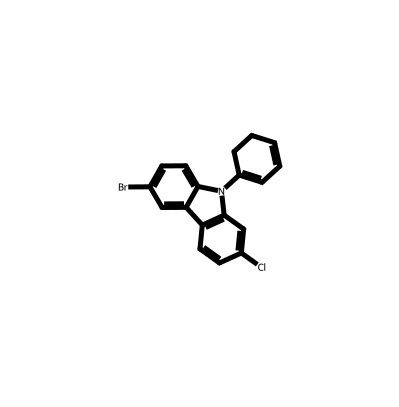 Clc1ccc2c3cc(Br)ccc3n(C3=CC=CCC3)c2c1